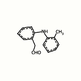 Cc1ccccc1Nc1ccccc1CC=O